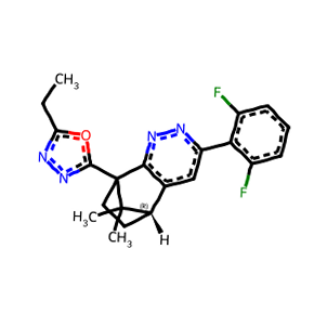 CCc1nnc(C23CC[C@@H](c4cc(-c5c(F)cccc5F)nnc42)C3(C)C)o1